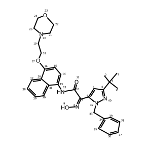 CC(C)(C)c1cc(C(=NO)C(=O)Nc2ccc(OCCN3CCOCC3)c3ccccc23)n(Cc2ccccc2)n1